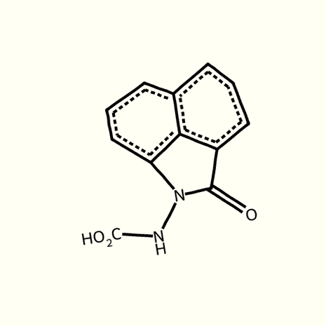 O=C(O)NN1C(=O)c2cccc3cccc1c23